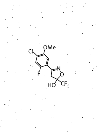 COc1cc(C2=NOC(O)(C(F)(F)F)C2)c(F)cc1Cl